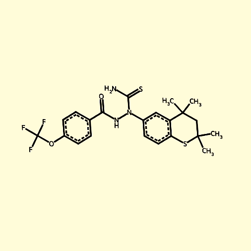 CC1(C)CC(C)(C)c2cc(N(NC(=O)c3ccc(OC(F)(F)F)cc3)C(N)=S)ccc2S1